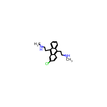 CNCCc1c2ccccc2c(CCNC)c2cc(Cl)ccc12